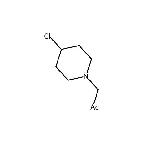 CC(=O)CN1CCC(Cl)CC1